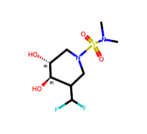 CN(C)S(=O)(=O)N1CC(C(F)F)[C@@H](O)[C@H](O)C1